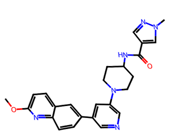 COc1ccc2cc(-c3cncc(N4CCC(NC(=O)c5cnn(C)c5)CC4)c3)ccc2n1